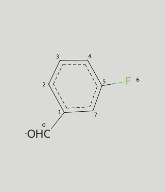 O=[C]c1cccc(F)c1